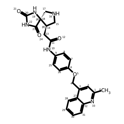 Cc1cc(COc2ccc(NC(=O)C[C@@H]3CNC[C@]34NC(=O)NC4=O)cc2)c2ccccc2n1